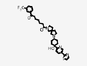 O=C(CCCCCC(=O)N1CCC2(CCN(C3CCC(O)(c4ccc(-c5nccs5)cn4)CC3)C2)C1)c1cccc(C(F)(F)F)c1